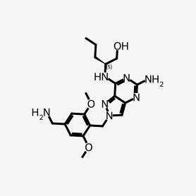 CCC[C@@H](CO)Nc1nc(N)nc2cn(Cc3c(OC)cc(CN)cc3OC)nc12